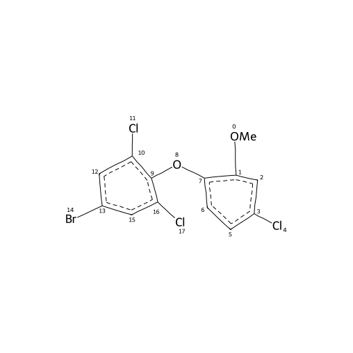 COc1cc(Cl)ccc1Oc1c(Cl)cc(Br)cc1Cl